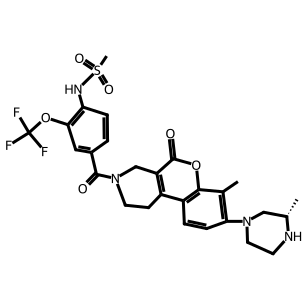 Cc1c(N2CCN[C@@H](C)C2)ccc2c3c(c(=O)oc12)CN(C(=O)c1ccc(NS(C)(=O)=O)c(OC(F)(F)F)c1)CC3